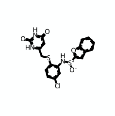 O=c1cc(CSc2ccc(Cl)cc2N[S+]([O-])c2cc3ccccc3o2)[nH]c(=O)[nH]1